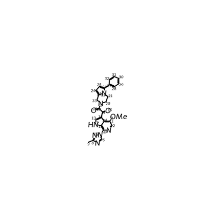 COc1cnc(-n2cnc(C)n2)c2[nH]cc(C(=O)C(=O)N3CCn4c(ccc4-c4ccccc4)C3)c12